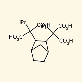 CC(C)C(C(=O)O)(C(=O)O)C1C2CCC(C2)C1C(C(=O)O)(C(=O)O)C(C)C